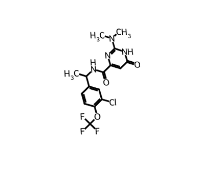 CC(NC(=O)c1cc(=O)[nH]c(N(C)C)n1)c1ccc(OC(F)(F)F)c(Cl)c1